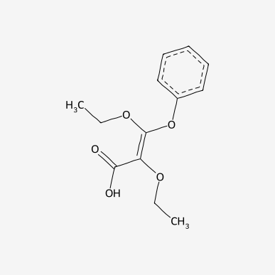 CCOC(Oc1ccccc1)=C(OCC)C(=O)O